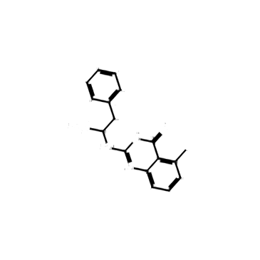 Cc1cccc2nc(NC(Cc3ccccc3)C(=O)O)oc(=O)c12